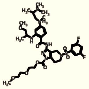 COCCOCCOC(=O)n1nc(NC(=O)c2ccc(N(C)CC(C)N(C)C)cc2NC(C)COC)c2c1CCN(S(=O)(=O)c1cc(F)cc(F)c1)C2